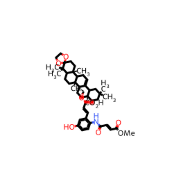 COC(=O)/C=C/C(=O)Nc1ccc(O)cc1/C=C/C(=O)OC[C@@]12CC[C@@]3(C(=O)O)CCC(C)(C)CC3C1=CCC1[C@@]3(C)CCC4(OCCO4)C(C)(C)C3CC[C@]12C